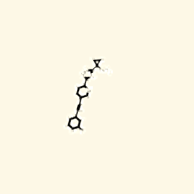 NC1(c2nc(-c3ccc(C#Cc4cccc(F)c4)cn3)no2)CC1